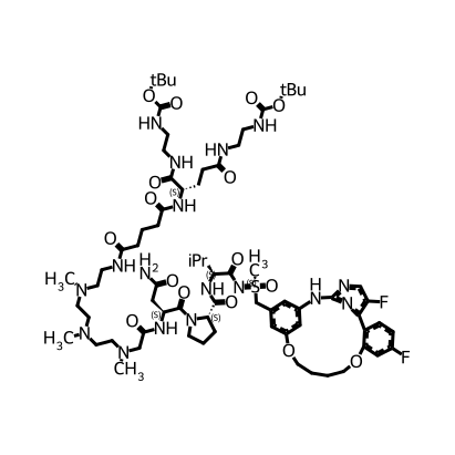 CC(C)[C@H](NC(=O)[C@@H]1CCCN1C(=O)[C@H](CC(N)=O)NC(=O)CN(C)CCN(C)CCN(C)CCNC(=O)CCCC(=O)N[C@@H](CCC(=O)NCCNC(=O)OC(C)(C)C)C(=O)NCCNC(=O)OC(C)(C)C)C(=O)N=[S@@](C)(=O)Cc1cc2cc(c1)OCCCCOc1cc(F)ccc1-c1nc(ncc1F)N2